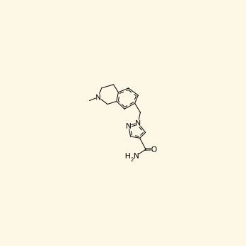 CN1CCc2ccc(Cn3cc(C(N)=O)cn3)cc2C1